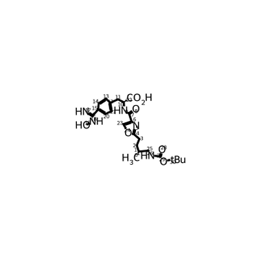 C[C@@H](CCc1nc(C(=O)N[C@@H](Cc2ccc(C(=N)NO)cc2)C(=O)O)co1)CNC(=O)OC(C)(C)C